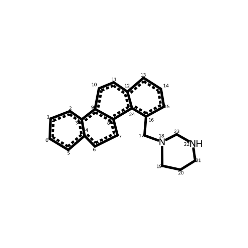 c1ccc2c(c1)ccc1c2ccc2cccc(CN3CCCNC3)c21